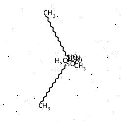 CCC(=O)O.CCCCCCCCCCCCCCCCCCSC(C)(SCCCCCCCCCCCCCCCCCC)C(=O)O